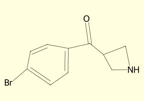 O=C(c1ccc(Br)cc1)C1CNC1